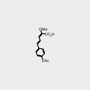 COC(=CC=Cc1ccc(OC(C)=O)cc1)C(=O)O